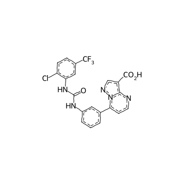 O=C(Nc1cccc(-c2ccnc3c(C(=O)O)cnn23)c1)Nc1cc(C(F)(F)F)ccc1Cl